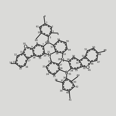 Cc1cc(C)c(B2c3cc4oc5cc(C)ccc5c4cc3N3c4cccc5c4N(c4cc6c(cc4B5c4c(C)cc(C)cc4C)oc4cc(C)ccc46)c4cccc2c43)c(C)c1